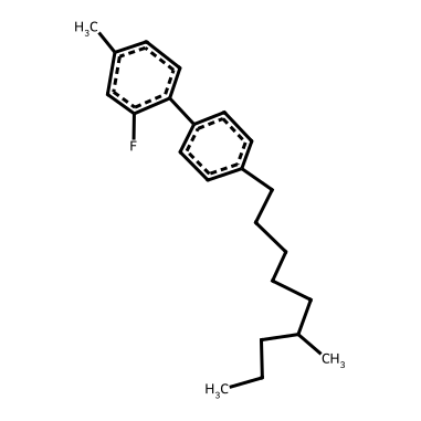 CCCC(C)CCCCCc1ccc(-c2ccc(C)cc2F)cc1